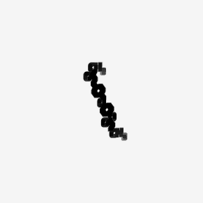 CCCC(=O)O[C@H]1CC[C@H](OCC2CCC(CCC(=O)CC)CC2)CC1